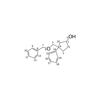 OC1CCC(COCc2ccccc2)(c2ccccc2)C1